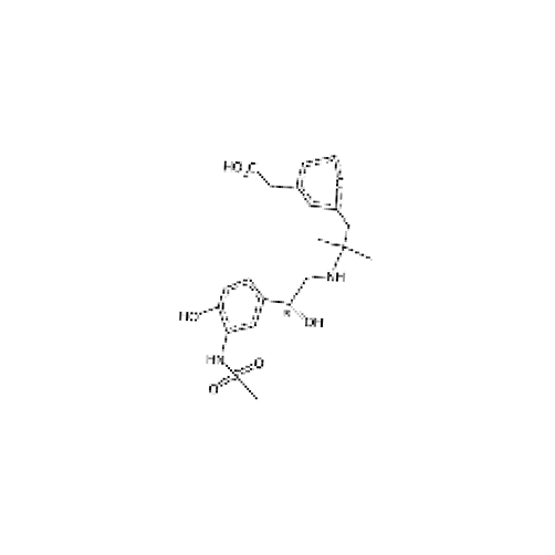 CC(C)(Cc1cccc(CC(=O)O)c1)NC[C@H](O)c1ccc(O)c(NS(C)(=O)=O)c1